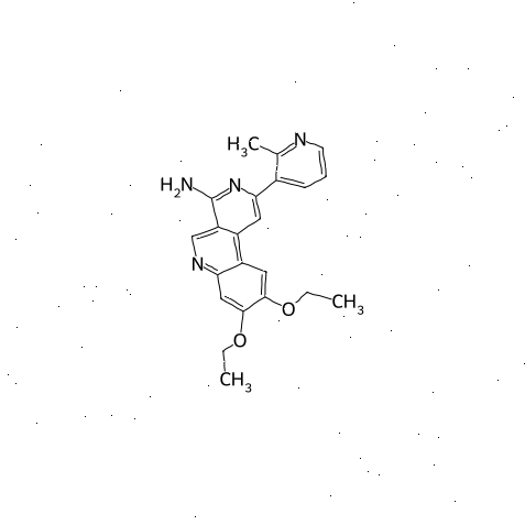 CCOc1cc2ncc3c(N)nc(-c4cccnc4C)cc3c2cc1OCC